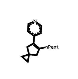 CCCCCC1=C(c2ccncc2)CC2(CC2)C1